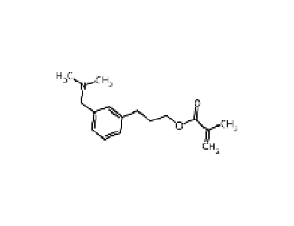 C=C(C)C(=O)OCCCc1cccc(CN(C)C)c1